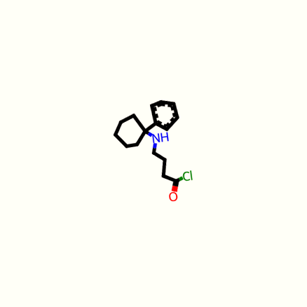 O=C(Cl)CCCNC1(c2ccccc2)CCCCC1